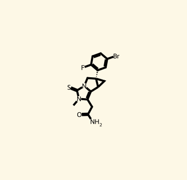 Cn1c(CC(N)=O)c2n(c1=S)C[C@@]1(c3cc(Br)ccc3F)CC21